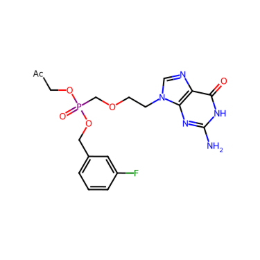 CC(=O)COP(=O)(COCCn1cnc2c(=O)[nH]c(N)nc21)OCc1cccc(F)c1